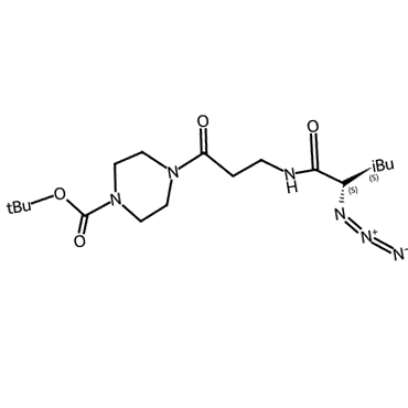 CC[C@H](C)[C@H](N=[N+]=[N-])C(=O)NCCC(=O)N1CCN(C(=O)OC(C)(C)C)CC1